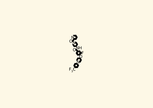 O=C(NC1CCN(C(=O)c2ccccn2)CC1)c1ccc(OC2CCN(c3ccc(C(F)(F)F)cc3)CC2)c(F)c1